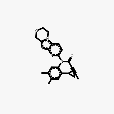 CC#CC(=O)N(c1ccc2c(n1)nc1n2CCOC1)c1cc(C)c(I)cc1C1CC1